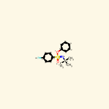 C[Si](C)(C)N=S(=O)(Oc1ccccc1)c1ccc(F)cc1